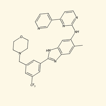 Cc1cc2nc(-c3cc(CN4CCOCC4)cc(C(F)(F)F)c3)[nH]c2cc1Nc1nccc(-c2cccnc2)n1